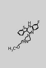 COCCC[C@H]1CN(C2=Nc3ccc(F)cc3Nc3sc4ccccc4c32)CCN1